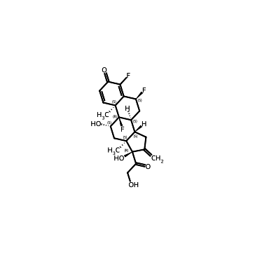 C=C1C[C@H]2[C@@H]3C[C@H](F)C4=C(F)C(=O)C=C[C@]4(C)[C@@]3(F)[C@@H](O)C[C@]2(C)[C@@]1(O)C(=O)CO